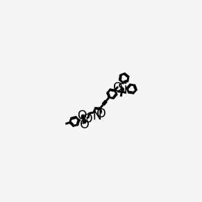 Cc1ccc(S(=O)(=O)OCc2cc(C#Cc3ccc(O[Si](c4ccccc4)(c4ccccc4)C(C)(C)C)cc3)on2)cc1